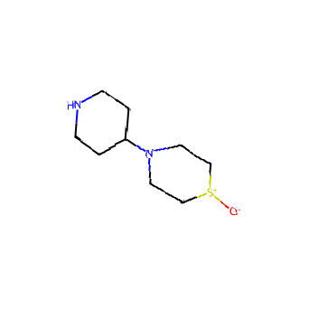 [O-][S+]1CCN(C2CCNCC2)CC1